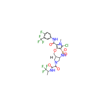 CC(NC(=O)C(=O)N1CC2NS(=O)(=O)c3c(c(C(=O)Nc4ccc(F)c(C(F)(F)F)c4)n(C)c3Cl)OC[C@@H]2C1)C(F)(F)F